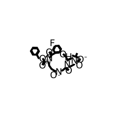 CN1CC(=O)N2CC[N+](C(=O)[O-])(C(C)(C)C)C[C@H]2COc2ccc(F)cc2C(=O)N(C)[C@H](C(=O)OCc2ccccc2)CCC1=O